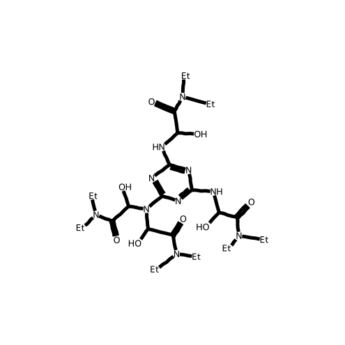 CCN(CC)C(=O)C(O)Nc1nc(NC(O)C(=O)N(CC)CC)nc(N(C(O)C(=O)N(CC)CC)C(O)C(=O)N(CC)CC)n1